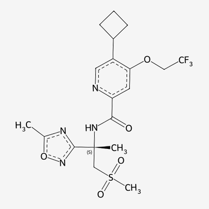 Cc1nc([C@@](C)(CS(C)(=O)=O)NC(=O)c2cc(OCC(F)(F)F)c(C3CCC3)cn2)no1